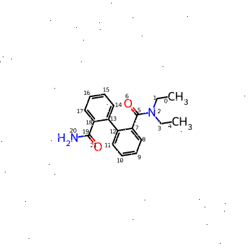 CCN(CC)C(=O)c1ccccc1-c1ccccc1C(N)=O